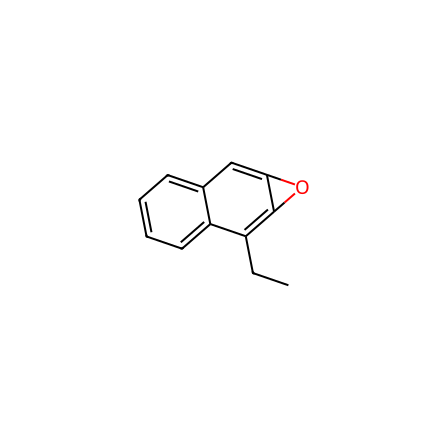 CCc1c2c(cc3ccccc13)O2